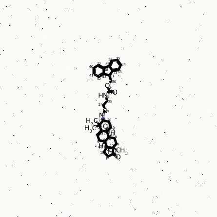 CC1(C)C2=CC[C@@H]3[C@H](CC[C@]4(C)C(=O)CC[C@@H]34)[C@@]2(C)CC/C1=N\OCCNC(=O)OCC1c2ccccc2-c2ccccc21